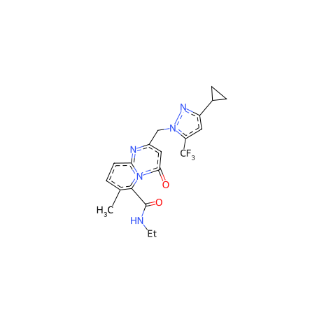 CCNC(=O)c1c(C)ccc2nc(Cn3nc(C4CC4)cc3C(F)(F)F)cc(=O)n12